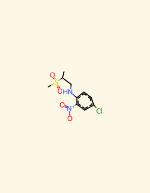 CC(CNc1ccc(Cl)cc1[N+](=O)[O-])S(C)(=O)=O